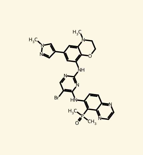 CN1CCOc2c(Nc3ncc(Br)c(Nc4ccc5nccnc5c4P(C)(C)=O)n3)cc(-c3cnn(C)c3)cc21